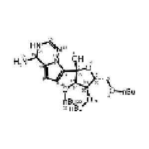 CCCCOC[C@H]1O[C@@](O)(c2ccc3n2N=CNC3N)[C@H](OCCCC)[C@@H]1OCCCC